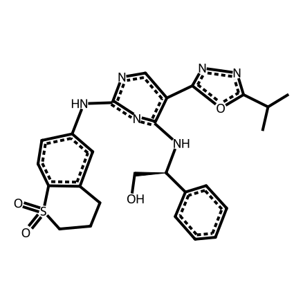 CC(C)c1nnc(-c2cnc(Nc3ccc4c(c3)CCCS4(=O)=O)nc2N[C@H](CO)c2ccccc2)o1